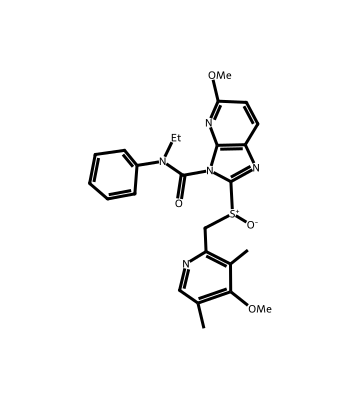 [CH2]CN(C(=O)n1c([S+]([O-])Cc2ncc(C)c(OC)c2C)nc2ccc(OC)nc21)c1ccccc1